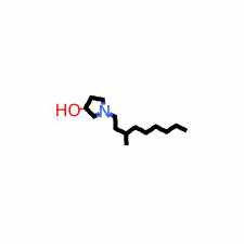 CCCCCCC(C)CCN1CC[C@@H](O)C1